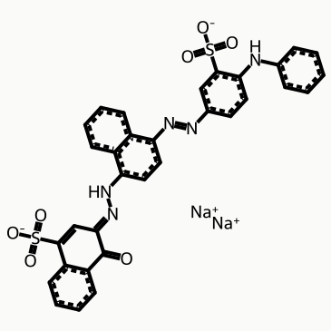 O=C1/C(=N/Nc2ccc(N=Nc3ccc(Nc4ccccc4)c(S(=O)(=O)[O-])c3)c3ccccc23)C=C(S(=O)(=O)[O-])c2ccccc21.[Na+].[Na+]